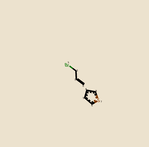 C=CCBr.c1ccsc1